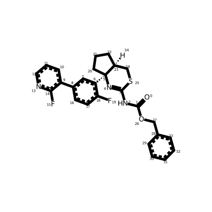 O=C(NC1=N[C@@]2(c3cc(-c4cccnc4F)ccc3F)CCC[C@H]2CS1)OCc1ccccc1